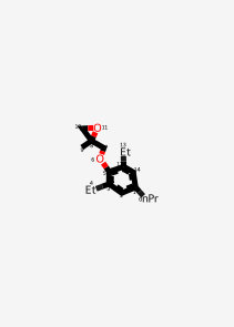 CCCc1cc(CC)c(OCC2(C)CO2)c(CC)c1